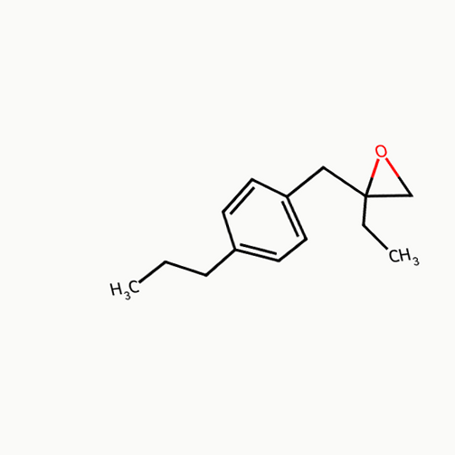 CCCc1ccc(CC2(CC)CO2)cc1